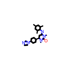 Cc1cc(C)c(N=c2cc(-c3ccc(-n4ccnc4)cc3)n(C)c(=O)n2C)c(C)c1